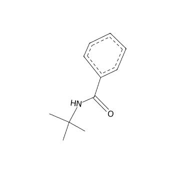 CC(C)(C)NC(=O)c1ccccc1